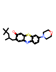 CC(Cc1cc2nc3ccc(N4CCOCC4)cc3sc-2cc1=O)CC(C)(C)C